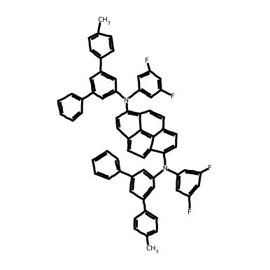 Cc1ccc(-c2cc(-c3ccccc3)cc(N(c3cc(F)cc(F)c3)c3ccc4ccc5c(N(c6cc(F)cc(F)c6)c6cc(-c7ccccc7)cc(-c7ccc(C)cc7)c6)ccc6ccc3c4c65)c2)cc1